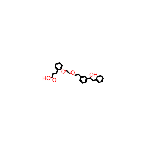 O=C(O)CCc1ccccc1OCCOCCc1cccc(C(O)Cc2ccccc2)c1